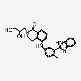 Cc1ccc(Nc2cccc3c2CCN(CC(O)CO)C3=O)cc1-c1nc2ccccc2[nH]1